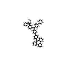 CC1(C)c2ccccc2-c2ccc(N(c3ccc(-c4ccccc4)cc3)c3ccc(-c4ccc5c(c4)c4cccc6c4n5-c4ccccc4-c4ccccc4-6)cc3)cc21